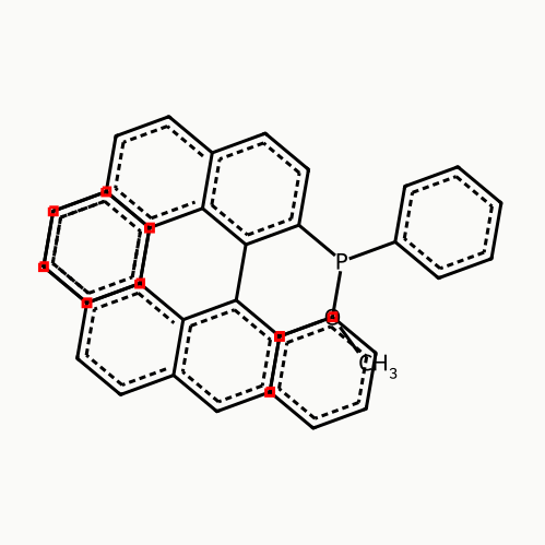 COc1ccc2ccc3ccccc3c2c1-c1c(P(c2ccccc2)c2ccccc2)ccc2ccc3ccccc3c12